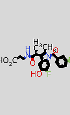 Cc1c([C@H](C)C(=O)NCCC(=O)O)c2cc(O)c(F)cc2n1C(=O)c1cccc(F)c1